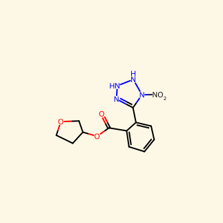 O=C(OC1CCOC1)c1ccccc1C1=NNNN1[N+](=O)[O-]